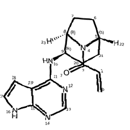 C=CC(=O)N1[C@@H]2CC[C@@H]1[C@H](Nc1ncnc3[nH]ccc13)CC2